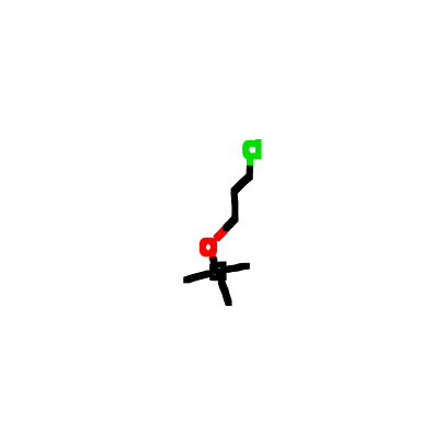 C[Si](C)(C)OCCCCl